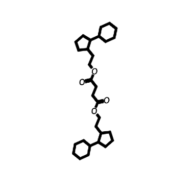 O=C(CCC(=O)OCCC1CCCC1C1CCCCC1)OCCC1CCCC1C1CCCCC1